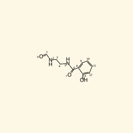 O=CNCCNC(=O)c1ccccc1O